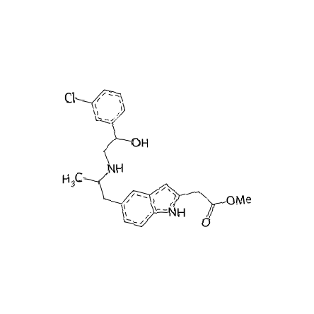 COC(=O)Cc1cc2cc(CC(C)NCC(O)c3cccc(Cl)c3)ccc2[nH]1